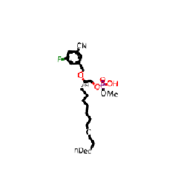 CCCCCCCCCCCCCCCCCCCC[C@@H](COP(=O)(O)OC)OCc1cc(F)cc(C#N)c1